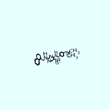 CN(C)Cc1ccc(CNc2nc(NCc3cccc4ccccc34)ncc2[N+](=O)[O-])cc1